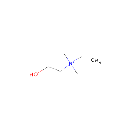 C.C[N+](C)(C)CCO